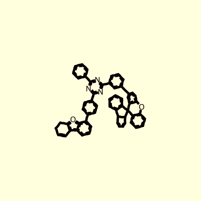 C1=CC2c3ccccc3C3(c4ccccc4Oc4ccc(-c5cccc(-c6nc(-c7ccccc7)nc(-c7ccc(-c8cccc9c%10c(oc89)CCC=C%10)cc7)n6)c5)cc43)C2C=C1